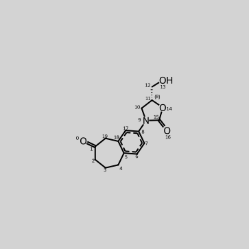 O=C1CCCc2ccc(N3C[C@H](CO)OC3=O)cc2C1